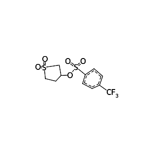 O=S1(=O)CCC(OS(=O)(=O)c2ccc(C(F)(F)F)cc2)C1